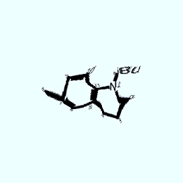 CCC(C)N1CCCc2cc(C)ccc21